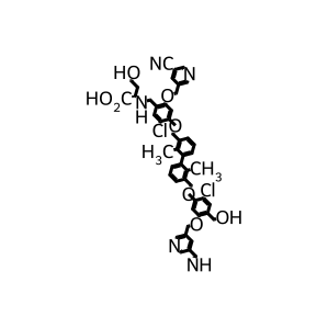 Cc1c(COc2cc(OCc3cncc(C=N)c3)c(CO)cc2Cl)cccc1-c1cccc(COc2cc(OCc3cncc(C#N)c3)c(CN[C@H](CCO)C(=O)O)cc2Cl)c1C